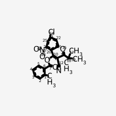 Cc1ccccc1C(=O)OC(=C(C#N)C(=O)C(C)(C)C)c1ccc(Cl)cc1[N+](=O)[O-]